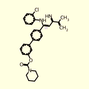 C=C(C)C(=N)/C=C(\Nc1ccccc1Cl)c1ccc(-c2cccc(OC(=O)N3CCCCC3)c2)cc1